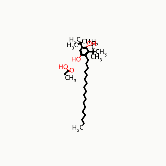 CCC(=O)O.CCCCCCCCCCCCCCCCCCc1c(O)cc(C(C)(C)C)c(O)c1C(C)(C)C